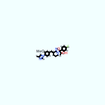 COc1cc(C=C2CCCN3C2=NOC3(c2ccc(F)cc2)C(C)O)ccc1-n1cnc(C)c1